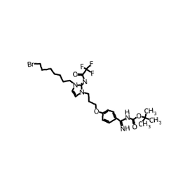 CC(C)(C)OC(=O)NC(=N)c1ccc(OCCCn2ccn(CCCCCCCBr)/c2=N\C(=O)C(F)(F)F)cc1